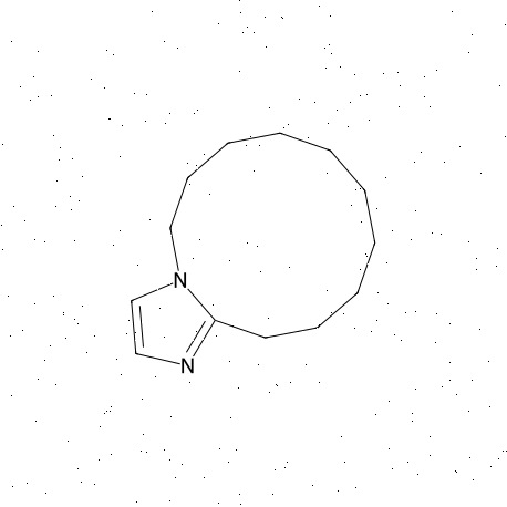 c1cn2c(n1)CCCCCCCCCC2